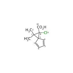 CC1(C)C2(C=CC=C2)C1(Cl)C(=O)O